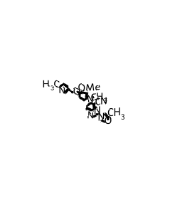 COc1cc(N(C)c2ccc3ncc(N4CCOC(C)C4)nc3c2C#N)ccc1OCc1ccc(C)nc1